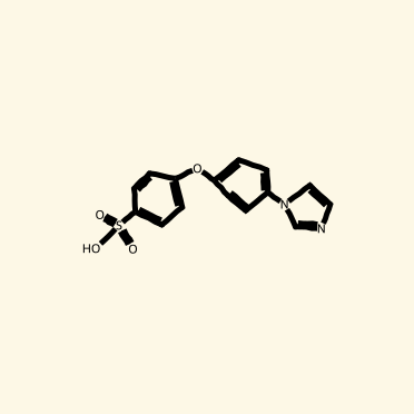 O=S(=O)(O)c1ccc(Oc2ccc(-n3ccnc3)cc2)cc1